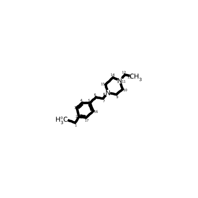 CCc1ccc(CCN2CCN(CC)CC2)cc1